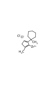 CC1=[C]([Zr+2])C(C2(C)CCCCC2)=CC1.[Cl-].[Cl-]